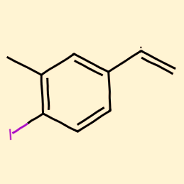 C=[C]c1ccc(I)c(C)c1